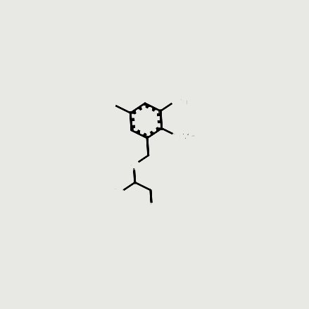 CCC(CO)OCc1cc(C)cc(C(C)(C)C)c1OC